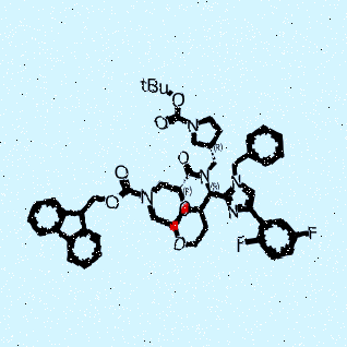 CC(C)(C)OC(=O)N1CC[C@H](CN(C(=O)[C@H]2CN(C(=O)OCC3c4ccccc4-c4ccccc43)CCO2)[C@@H](c2nc(-c3cc(F)ccc3F)cn2Cc2ccccc2)C2CCOCC2)C1